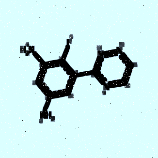 Nc1cc(N)c(F)c(-c2nccnn2)c1